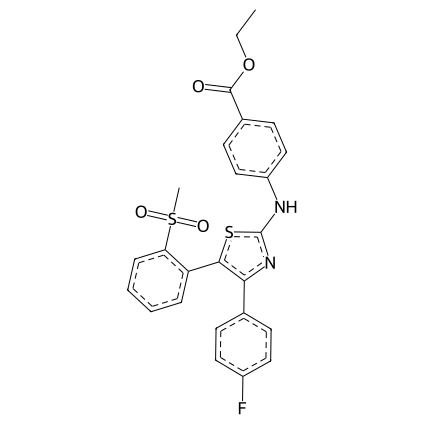 CCOC(=O)c1ccc(Nc2nc(-c3ccc(F)cc3)c(-c3ccccc3S(C)(=O)=O)s2)cc1